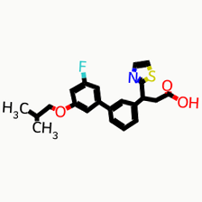 CC(C)COc1cc(F)cc(-c2cccc(C(CC(=O)O)c3nccs3)c2)c1